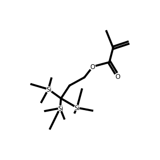 C=C(C)C(=O)OCCC([Si](C)(C)C)([Si](C)(C)C)[Si](C)(C)C